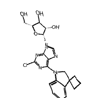 OC[C@H]1O[C@@H](n2cnc3c(N4CC5(CCC5)c5ccccc54)nc(Cl)nc32)[C@@H](O)C1O